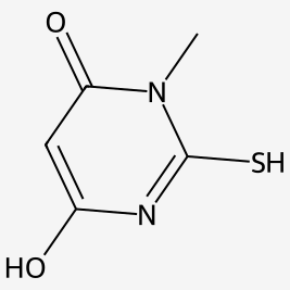 Cn1c(S)nc(O)cc1=O